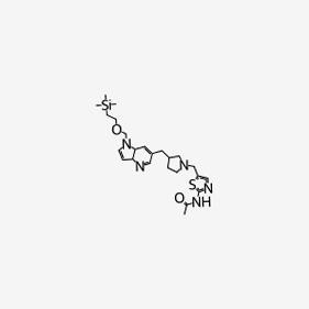 CC(=O)Nc1ncc(CN2CCC(CC3=CC4C(C=CN4COCC[Si](C)(C)C)N=C3)C2)s1